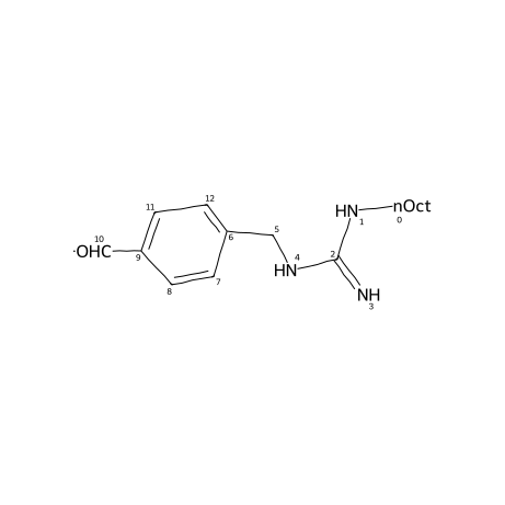 CCCCCCCCNC(=N)NCc1ccc([C]=O)cc1